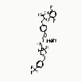 Cl.Cl.O=C(O)[C@H](Cc1ccc(OCCN[C@H]2[C@@H]3CN(Cc4ccc(C(F)(F)F)cc4)C[C@@H]32)cc1)Oc1cc(F)ccc1F